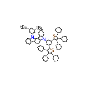 CC(C)(C)c1cc(-n2c3ccccc3c3ccc4c(c5ccccc5n4-c4cc(-c5sc(C6=CCCC=C6)c(-c6ccccc6)c5-c5ccccc5)cc(-c5sc(-c6ccccc6)c(-c6ccccc6)c5-c5ccccc5)c4)c32)cc(C(C)(C)C)c1